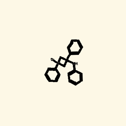 [O-][N+]1(c2ccccc2)CC(Nc2ccccc2)(c2ccccc2)C1